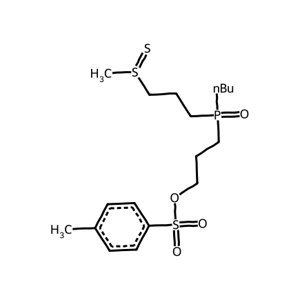 CCCCP(=O)(CCCOS(=O)(=O)c1ccc(C)cc1)CCCS(C)=S